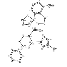 COc1cccc2c1OCC[C@]21CNC[C@H]1C(=O)N1CC[C@@H](c2ccccc2)C[C@H]1c1nc(C(C)C)no1